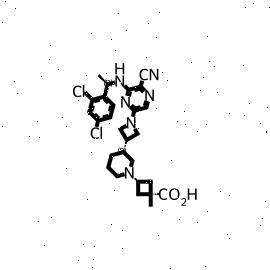 C[C@@H](Nc1nc(N2CC([C@H]3CCCN([C@H]4C[C@@](C)(C(=O)O)C4)C3)C2)cnc1C#N)c1ccc(Cl)cc1Cl